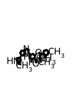 Cc1ccc(C(=O)C(C)(C)N(C)C(=O)c2ccc(-c3cnc4ccc(C5=CN(C)NC5)cn34)cc2F)c(F)c1